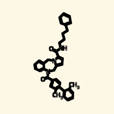 Cc1ccccc1-c1ccc(C(=O)N2Cc3ccc(C(=O)NCCCCc4ccccc4)n3Cc3ccccc32)cc1C